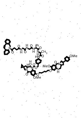 COc1ccc(C2=CN3C(=O)c4cc(OC)c(OCCCCCOc5cc6c(cc5OC)C(=O)N5CC7(CC7)C[C@H]5[C@H](O)N6C(=O)OCc5ccc(NC(=O)[C@H](C)NC(=O)[C@@H](NC(=O)CNC(=O)CNC(=O)CCC(=O)N6Cc7ccccc7C#Cc7ccccc76)C(C)C)cc5)cc4NCC3C2)cc1